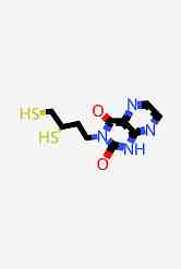 O=c1[nH]c2nccnc2c(=O)n1CC[C@@H](S)CS